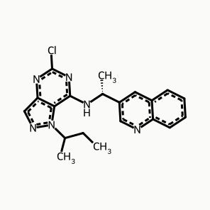 CCC(C)n1ncc2nc(Cl)nc(N[C@H](C)c3cnc4ccccc4c3)c21